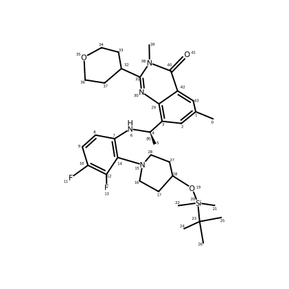 Cc1cc([C@@H](C)Nc2ccc(F)c(F)c2N2CCC(O[Si](C)(C)C(C)(C)C)CC2)c2nc(C3CCOCC3)n(C)c(=O)c2c1